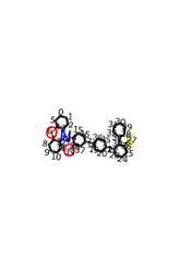 c1ccc2c(c1)Oc1cccc3c1N2c1ccc(-c2ccc(-c4cccc5sc6ccccc6c45)cc2)cc1O3